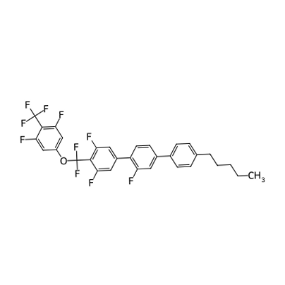 CCCCCc1ccc(-c2ccc(-c3cc(F)c(C(F)(F)Oc4cc(F)c(C(F)(F)F)c(F)c4)c(F)c3)c(F)c2)cc1